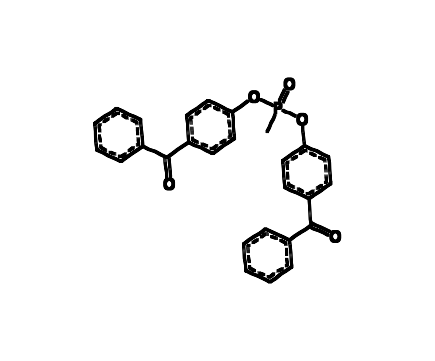 CP(=O)(Oc1ccc(C(=O)c2ccccc2)cc1)Oc1ccc(C(=O)c2ccccc2)cc1